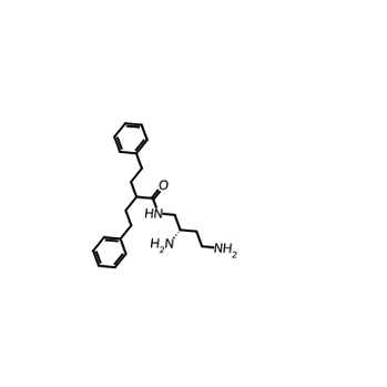 NCC[C@H](N)CNC(=O)C(CCc1ccccc1)CCc1ccccc1